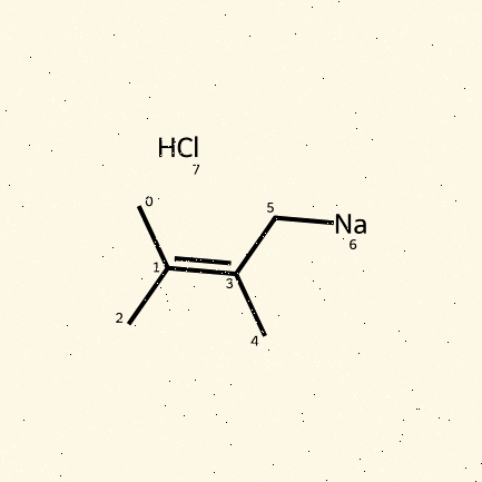 CC(C)=C(C)[CH2][Na].Cl